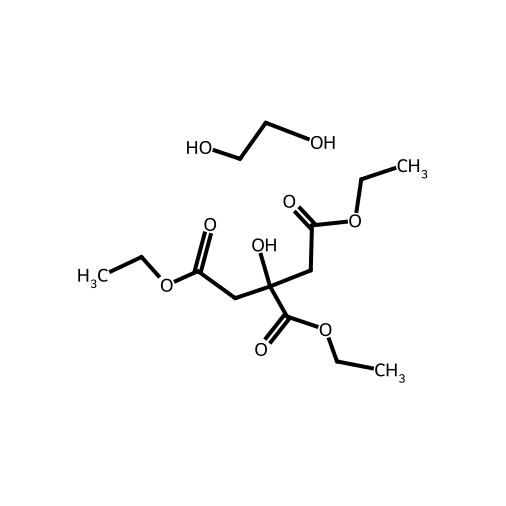 CCOC(=O)CC(O)(CC(=O)OCC)C(=O)OCC.OCCO